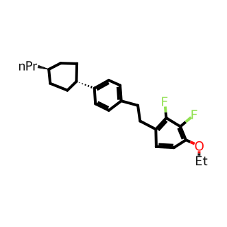 CCC[C@H]1CC[C@H](c2ccc(CCc3ccc(OCC)c(F)c3F)cc2)CC1